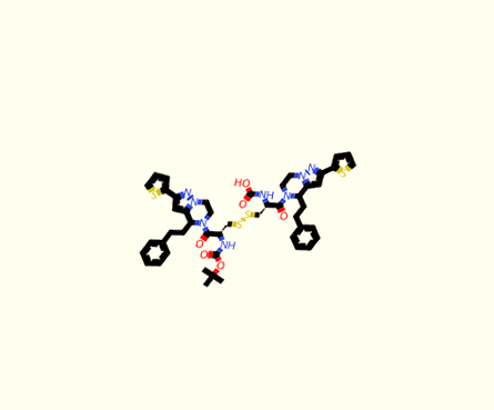 CC(C)(C)OC(=O)N[C@@H](CSSC[C@H](NC(=O)O)C(=O)N1CCn2nc(-c3cccs3)cc2C1CCc1ccccc1)C(=O)N1CCn2nc(-c3cccs3)cc2C1CCc1ccccc1